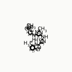 Cc1nc(Nc2ncc(C(=O)Nc3c(C)cccc3Cl)s2)cc(NC2CCN(S(C)(=O)=O)C2)n1